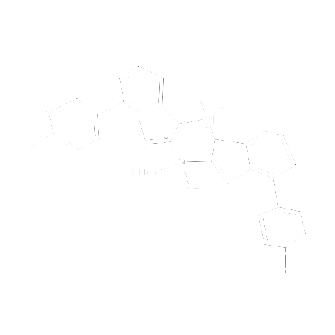 CCCCCC[Si]1(CCCCCC)C2=Cc3c(-c4ccc(C)cc4)cccc3[CH]2[Hf]([CH3])([CH3])[CH]2C1=Cc1c(-c3ccc(C)cc3)cccc12